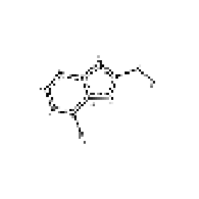 [CH2]Cc1nc2cccc(F)c2s1